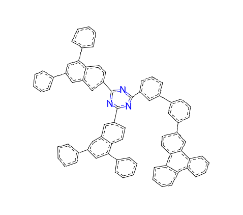 c1ccc(-c2cc(-c3ccccc3)c3ccc(-c4nc(-c5cccc(-c6cccc(-c7ccc8c9ccccc9c9ccccc9c8c7)c6)c5)nc(-c5ccc6c(-c7ccccc7)cc(-c7ccccc7)cc6c5)n4)cc3c2)cc1